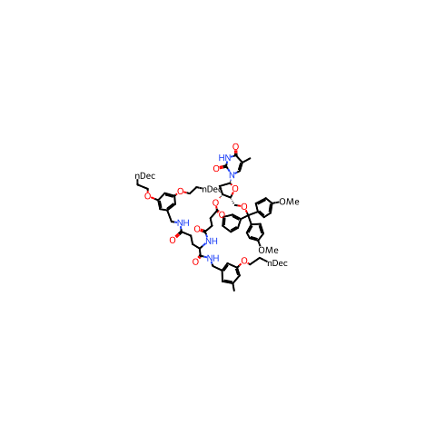 CCCCCCCCCCCCOc1cc(C)cc(CNC(=O)C(CCC(=O)NCc2cc(OCCCCCCCCCCCC)cc(OCCCCCCCCCCCC)c2)NC(=O)CCC(=O)O[C@@H]2C[C@H](n3cc(C)c(=O)[nH]c3=O)O[C@@H]2COC(c2ccccc2)(c2ccc(OC)cc2)c2ccc(OC)cc2)c1